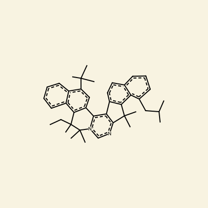 CCC1(C)c2c(cc(C(C)(C)C)c3ccccc23)-c2c3c(nc[n+]2C1(C)C)C(C)(C)c1c-3ccc2cccc(CC(C)C)c12